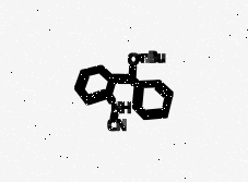 CCCCOC(=C1CC=CC=C1NC#N)c1ccccc1